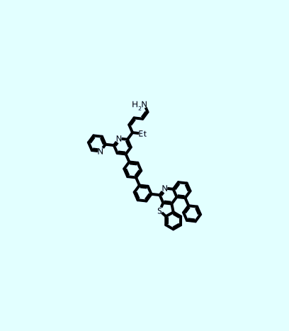 CCC(/C=C\C=C/N)c1cc(-c2ccc(-c3cccc(-c4nc5cccc(-c6ccccc6)c5c5c4sc4ccccc45)c3)cc2)cc(-c2ccccn2)n1